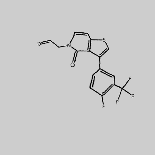 O=CCn1ccc2scc(-c3ccc(F)c(C(F)(F)F)c3)c2c1=O